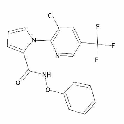 O=C(NOc1ccccc1)c1cccn1-c1ncc(C(F)(F)F)cc1Cl